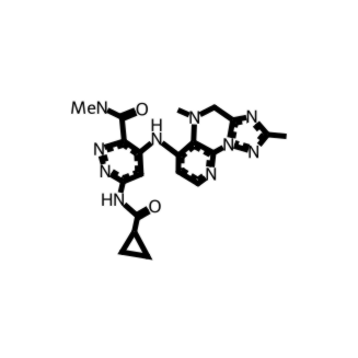 CNC(=O)c1nnc(NC(=O)C2CC2)cc1Nc1ccnc2c1N(C)Cc1nc(C)nn1-2